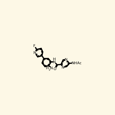 CC(=O)Nc1cnc(C(=O)Nc2cc(-c3ccc(F)nc3)ccc2N)cn1